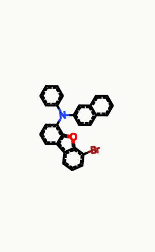 Brc1cccc2c1oc1c(N(c3ccccc3)c3ccc4ccccc4c3)cccc12